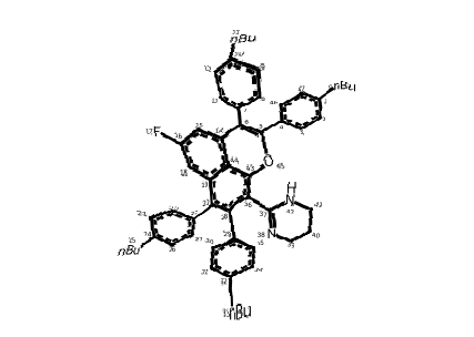 CCCCc1ccc(C2=C(c3ccc(CCCC)cc3)c3cc(F)cc4c(-c5ccc(CCCC)cc5)c(-c5ccc(CCCC)cc5)c(C5=NCCCN5)c(c34)O2)cc1